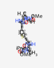 COC(=O)N[C@H](C(=O)N1C[C@@H](C)C[C@H]1c1nc(C#Cc2ccc3sc(C#Cc4c[nH]c([C@@H]5C[C@H](C)CN5C(=O)[C@@H](NC(=O)OC)C(C)C)n4)cc3c2)c[nH]1)C(C)C